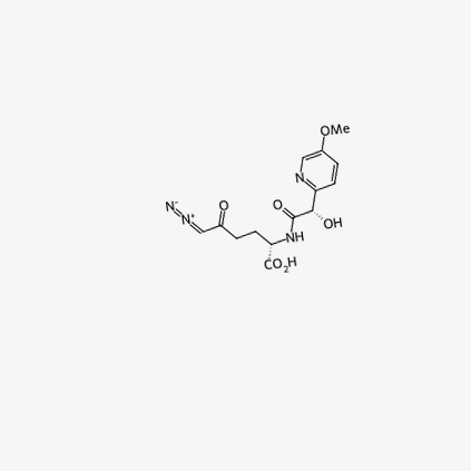 COc1ccc([C@H](O)C(=O)N[C@@H](CCC(=O)C=[N+]=[N-])C(=O)O)nc1